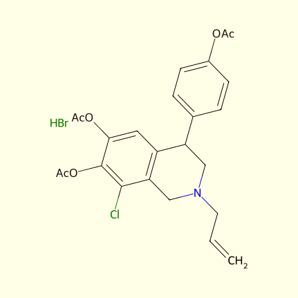 Br.C=CCN1Cc2c(cc(OC(C)=O)c(OC(C)=O)c2Cl)C(c2ccc(OC(C)=O)cc2)C1